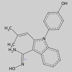 CC(C)=Cc1c(/C(N)=N/O)c2ccccc2n1-c1ccc(O)cc1